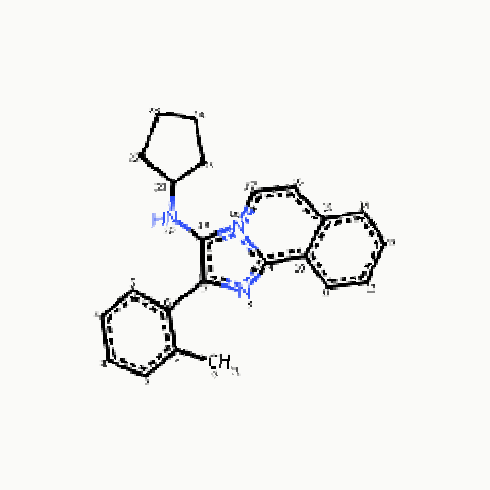 Cc1ccccc1-c1nc2c3ccccc3ccn2c1NC1CCCC1